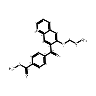 COCOc1cc2cccnc2cc1C(=O)c1ccc(C(=O)OC)cc1